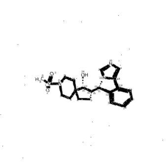 CS(=O)(=O)N1CCC2(CC[C@@H]([C@H]3c4ccccc4-c4cncn43)[C@H]2O)CC1